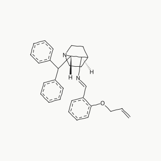 C=CCOc1ccccc1/C=N/[C@@H]1C2CCN(CC2)[C@H]1C(c1ccccc1)c1ccccc1